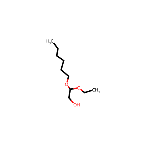 CCCCCCOC(CO)OCC